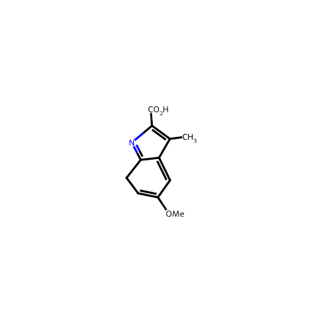 COC1=CCC2=NC(C(=O)O)=C(C)C2=C1